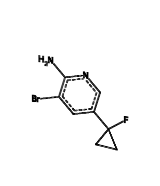 Nc1ncc(C2(F)CC2)cc1Br